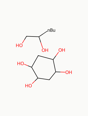 CCCCC(O)CO.OC1CC(O)C(O)CC1O